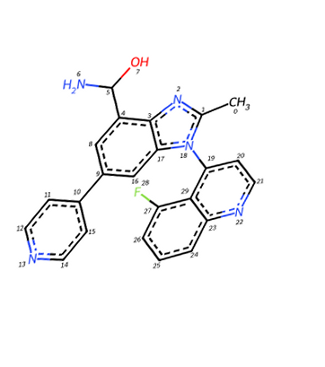 Cc1nc2c(C(N)O)cc(-c3ccncc3)cc2n1-c1ccnc2cccc(F)c12